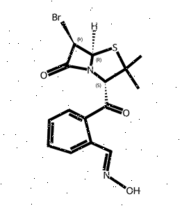 CC1(C)S[C@@H]2[C@H](Br)C(=O)N2[C@H]1C(=O)c1ccccc1C=NO